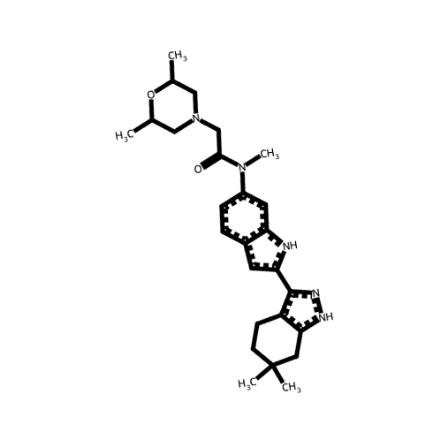 CC1CN(CC(=O)N(C)c2ccc3cc(-c4n[nH]c5c4CCC(C)(C)C5)[nH]c3c2)CC(C)O1